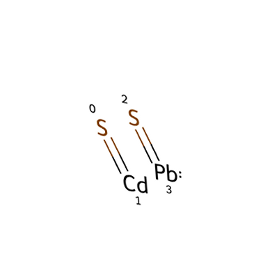 [S]=[Cd].[S]=[Pb]